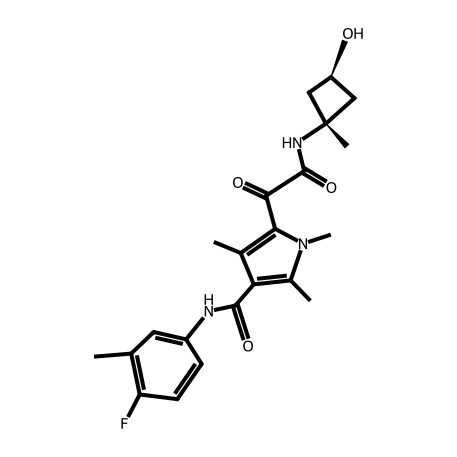 Cc1cc(NC(=O)c2c(C)c(C(=O)C(=O)N[C@]3(C)C[C@@H](O)C3)n(C)c2C)ccc1F